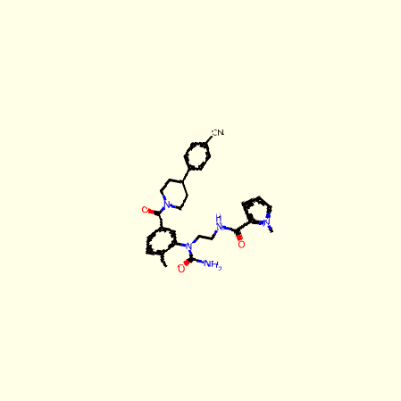 Cc1ccc(C(=O)N2CCC(c3ccc(C#N)cc3)CC2)cc1N(CCNC(=O)c1cccn1C)C(N)=O